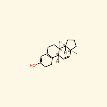 C[C@]12C=C[C@@H]3C4=C(C=C(O)CC4)CC[C@H]3[C@@H]1CCC2